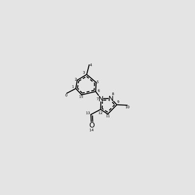 Cc1cc(C)cc(-n2nc(C)cc2C=O)c1